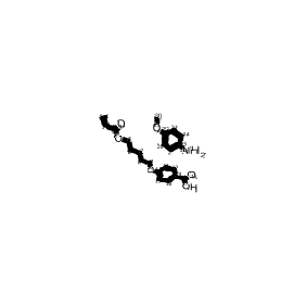 C=CC(=O)OCCCCCOc1ccc(C(=O)O)cc1.COc1ccc(N)cc1